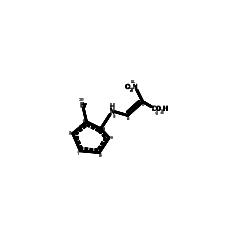 O=C(O)C(=CNc1ccccc1Br)[N+](=O)[O-]